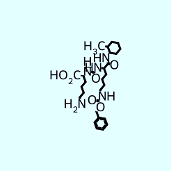 CC1CCCC[C@H]1NC(=O)C(CCCCNC(=O)OCc1ccccc1)NC(=O)N[C@@H](CCCCN)C(=O)O